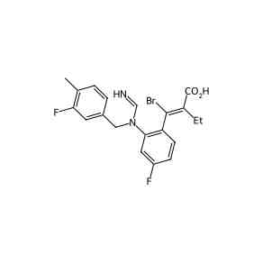 CC/C(C(=O)O)=C(/Br)c1ccc(F)cc1N(C=N)Cc1ccc(C)c(F)c1